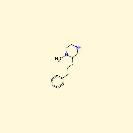 CN1CCNCC1CCCc1ccccc1